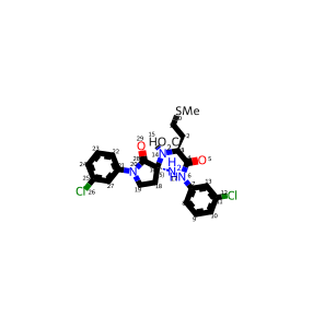 CSCC[C@@H](C(=O)Nc1cccc(Cl)c1)N(C(=O)O)[C@@]1(N)CCN(c2cccc(Cl)c2)C1=O